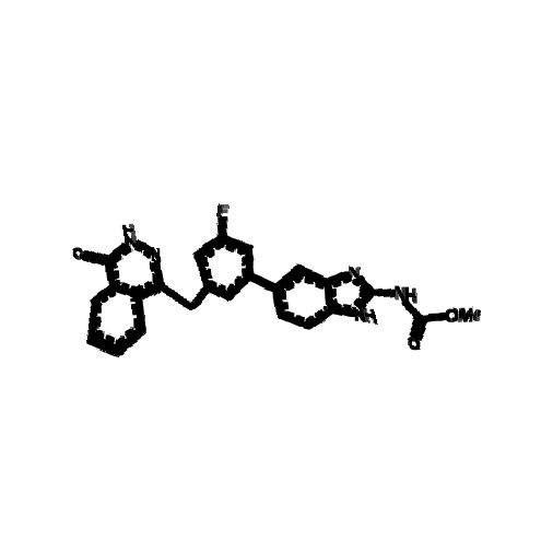 COC(=O)Nc1nc2cc(-c3cc(F)cc(Cc4n[nH]c(=O)c5ccccc45)c3)ccc2[nH]1